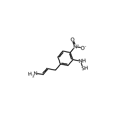 NC=CCc1ccc([N+](=O)[O-])c(NS)c1